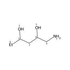 CCC(O)CC(O)CN